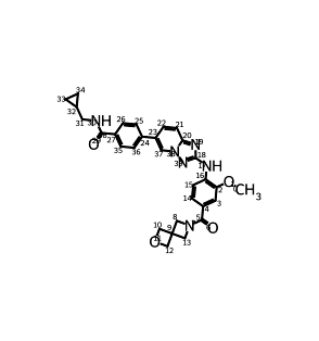 COc1cc(C(=O)N2CC3(COC3)C2)ccc1Nc1nc2ccc(-c3ccc(C(=O)NCC4CC4)cc3)cn2n1